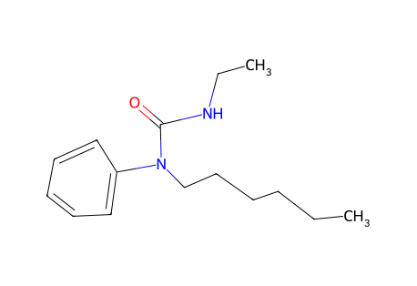 CCCCCCN(C(=O)NCC)c1ccccc1